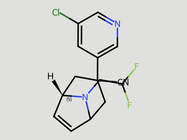 N#CC1(c2cncc(Cl)c2)CC2C=C[C@H](C1)N2CC(F)F